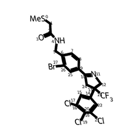 CSCC(=O)NCc1ccc(C2=NCC(c3cc(Cl)c(Cl)c(Cl)c3)(C(F)(F)F)C2)cc1Br